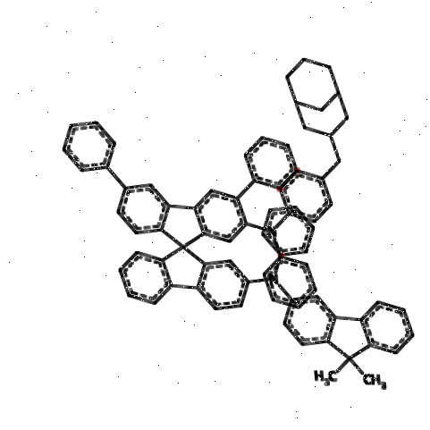 CC1(C)c2ccccc2-c2cc(N(c3ccccc3)c3ccc4c(c3)C3(c5ccccc5-4)c4ccc(-c5ccccc5)cc4-c4cc(-c5ccccc5)c(N(c5ccccc5)c5ccc(CC6CC7CCCC(C7)C6)cc5)cc43)ccc21